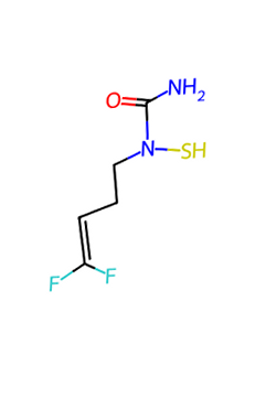 NC(=O)N(S)CCC=C(F)F